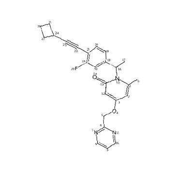 Cc1cc(OCc2ncccn2)cc(=O)n1C(C)c1ccc(C#CC2CCC2)c(F)c1